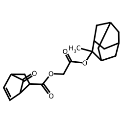 CC1(OC(=O)COC(=O)C2CC3C=CC2C3=O)C2CC3CC(C2)CC1C3